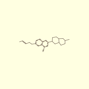 CC=CCCc1ccc2cc(C3CCC4CC(C)CCC4C3)cc(F)c2c1